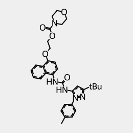 Cc1ccc(-n2nc(C(C)(C)C)cc2NC(=O)Nc2ccc(OCCOC(=O)N3CCOCC3)c3ccccc23)cc1